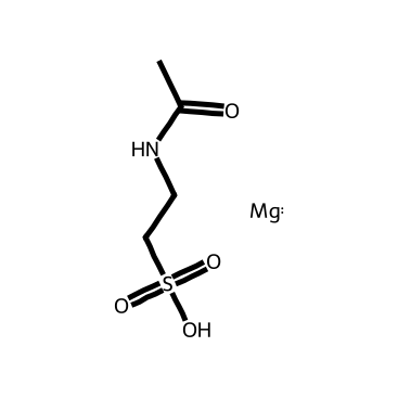 CC(=O)NCCS(=O)(=O)O.[Mg]